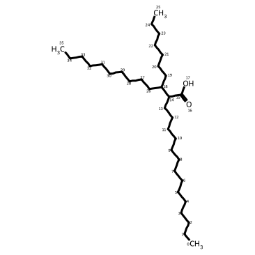 CCCCCCCCCCCCCCC(C(=O)O)C(CCCCCCC)CCCCCCCCCC